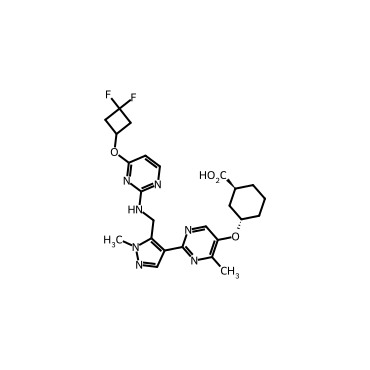 Cc1nc(-c2cnn(C)c2CNc2nccc(OC3CC(F)(F)C3)n2)ncc1O[C@H]1CCC[C@H](C(=O)O)C1